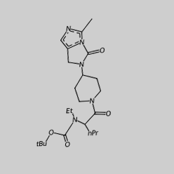 CCCC(C(=O)N1CCC(N2Cc3cnc(C)n3C2=O)CC1)N(CC)C(=O)OC(C)(C)C